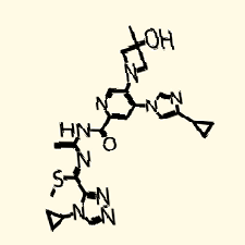 C=C(/N=C(\SC)c1nncn1C1CC1)NC(=O)c1cc(-n2cnc(C3CC3)c2)c(N2CC(C)(O)C2)cn1